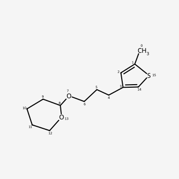 Cc1cc(CCCOC2CCCCO2)cs1